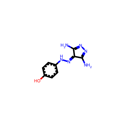 NC1=NN=C(N)C1=NNc1ccc(O)cc1